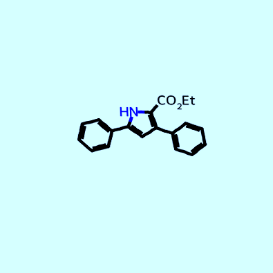 CCOC(=O)c1[nH]c(-c2ccccc2)cc1-c1ccccc1